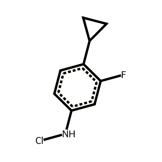 Fc1cc(NCl)ccc1C1CC1